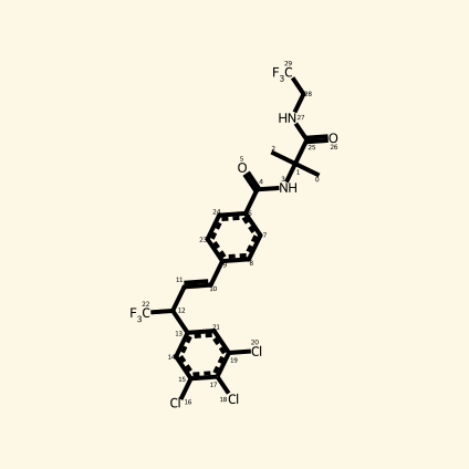 CC(C)(NC(=O)c1ccc(/C=C/C(c2cc(Cl)c(Cl)c(Cl)c2)C(F)(F)F)cc1)C(=O)NCC(F)(F)F